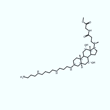 COC(=O)CNC(=O)CC[C@@H](C)[C@H]1CCC2C3C(C[C@H](O)[C@@]21C)[C@@]1(C)CC[C@H](NCCCNCCCCNCCCN)C[C@H]1C[C@H]3O